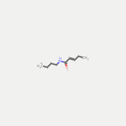 CC/C=C/C(=O)NCCCC